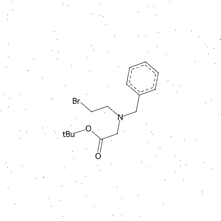 CC(C)(C)OC(=O)CN(CCBr)Cc1ccccc1